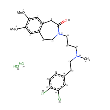 COc1cc2c(cc1OC)CC(=O)N(CCCN(C)CCc1ccc(Cl)c(Cl)c1)CC2.Cl.Cl